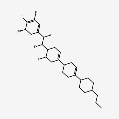 CCCC1CCC(C2=CCC(C3=CCC(C(F)C(F)C4=CC(F)=C(F)[C@H](F)C4)C(F)C3)CC2)CC1